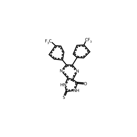 O=c1[nH]c(=S)[nH]c2nc(-c3ccc(C(F)(F)F)cc3)c(-c3ccc(C(F)(F)F)cc3)nc12